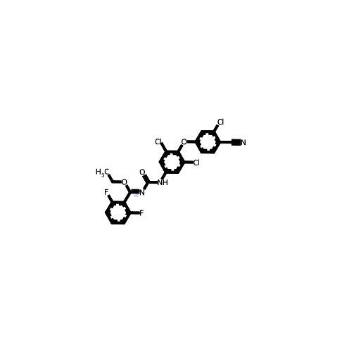 CCO/C(=N\C(=O)Nc1cc(Cl)c(Oc2ccc(C#N)c(Cl)c2)c(Cl)c1)c1c(F)cccc1F